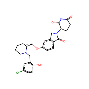 O=C1CCC(N2Cc3cc(OC[C@@H]4CCCCN4Cc4cc(Cl)ccc4O)ccc3C2=O)C(=O)N1